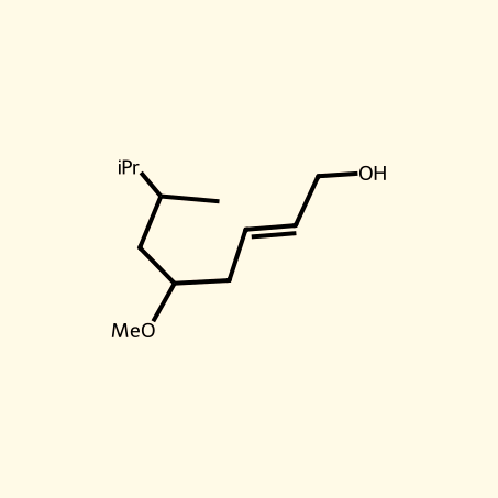 COC(CC=CCO)CC(C)C(C)C